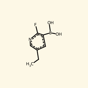 CCc1cnc(F)c(B(O)O)c1